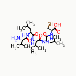 CC(C)C[C@H](NC(=O)[C@@H](N)C(C)C)C(=O)N[C@H](C(=O)N[C@@H](CC(C)C)C(=O)N[C@@H](CS)C(=O)O)C(C)C